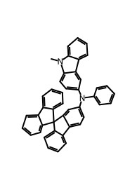 Cn1c2ccccc2c2cc(N(c3ccccc3)c3ccc4c(c3)C3(c5ccccc5-c5ccccc53)c3ccccc3-4)ccc21